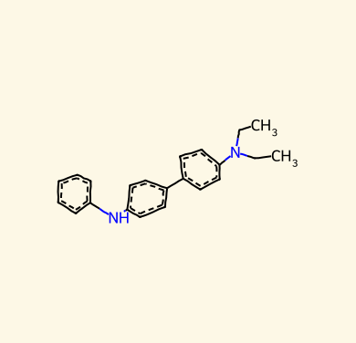 CCN(CC)c1ccc(-c2ccc(Nc3ccccc3)cc2)cc1